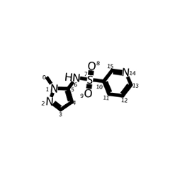 Cn1nccc1NS(=O)(=O)c1cccnc1